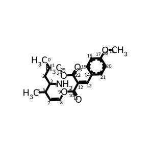 CCCC(N)C(C)/C=C\OC(=O)/C(=C/c1ccc(OC)cc1)C(=O)OC